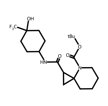 CC(C)(C)OC(=O)N1CCCCC12CC2C(=O)NC1CCC(O)(C(F)(F)F)CC1